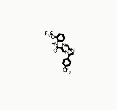 CN(C(=O)c1cn2c(-c3ccc(C(F)(F)F)cc3)cnc2cn1)c1ccccc1OC(F)(F)F